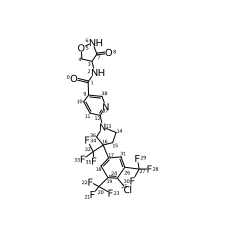 O=C(NC1CONC1=O)c1ccc(N2CCC(c3cc(C(F)(F)F)c(Cl)c(C(F)(F)F)c3)(C(F)(F)F)C2)nc1